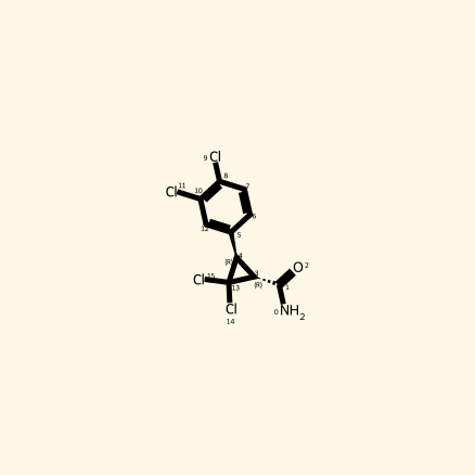 NC(=O)[C@H]1[C@H](c2ccc(Cl)c(Cl)c2)C1(Cl)Cl